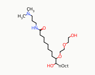 CCCCCCCCC(O)C(CCCCCCCC(=O)NCCCN(C)C)OCCOCCO